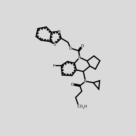 O=C(O)CCC(=O)N(C1CC1)C1c2ccc(F)cc2N(C(=O)OCc2nc3ccccc3s2)C2CCCC21